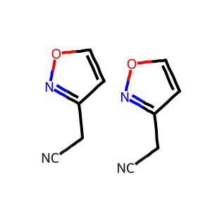 N#CCc1ccon1.N#CCc1ccon1